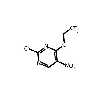 O=[N+]([O-])c1cnc(Cl)nc1OCC(F)(F)F